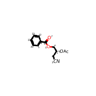 CC(=O)O[C@H](CC#N)COC(=O)c1ccccc1